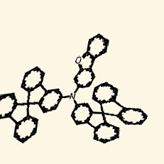 c1ccc2c(c1)-c1ccccc1C21c2ccccc2-c2cc(N(c3ccc4c(c3)C3(c5ccccc5-c5ccccc53)c3ccccc3-4)c3ccc4c(c3)oc3ccccc34)ccc21